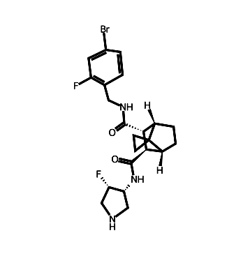 O=C(N[C@@H]1CNC[C@@H]1F)[C@H]1[C@H](C(=O)NCc2ccc(Br)cc2F)[C@@H]2CC[C@H]1C21CC1